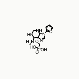 NC1NCNC2N(c3ccco3)C=N[C@@]12OCP(=O)(O)O